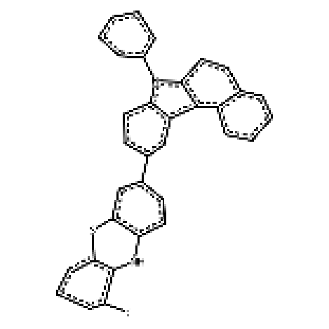 Clc1cccc2c1Nc1ccc(-c3ccc4c(c3)c3c5ccccc5ccc3n4-c3ccccc3)cc1S2